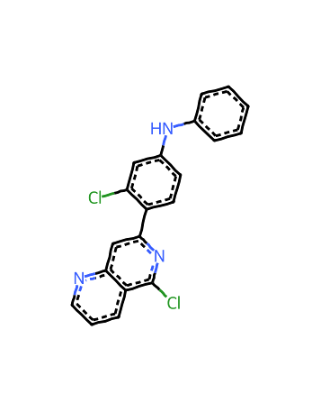 Clc1cc(Nc2ccccc2)ccc1-c1cc2ncccc2c(Cl)n1